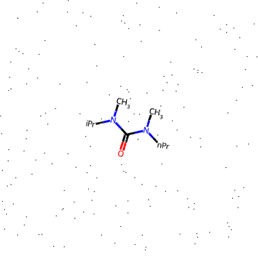 CCCN(C)C(=O)N(C)C(C)C